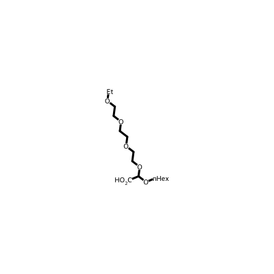 CCCCCCOC(OCCOCCOCCOCC)C(=O)O